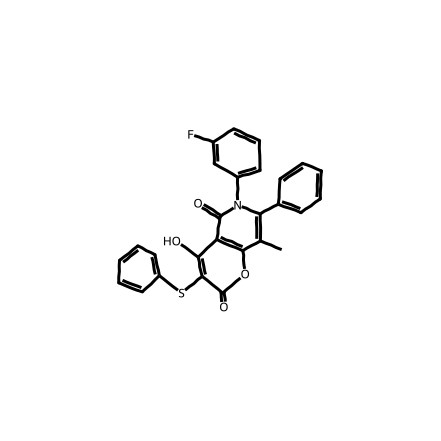 Cc1c(-c2ccccc2)n(-c2cccc(F)c2)c(=O)c2c(O)c(Sc3ccccc3)c(=O)oc12